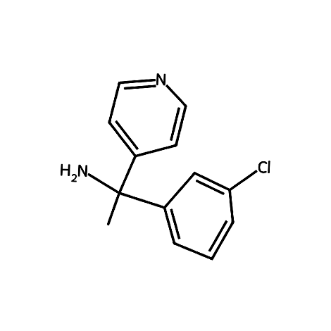 CC(N)(c1ccncc1)c1cccc(Cl)c1